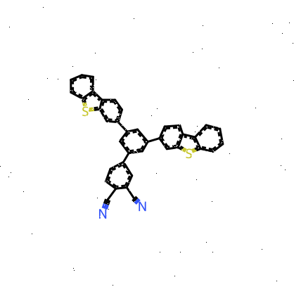 N#Cc1ccc(-c2cc(-c3ccc4c(c3)sc3ccccc34)cc(-c3ccc4c(c3)sc3ccccc34)c2)cc1C#N